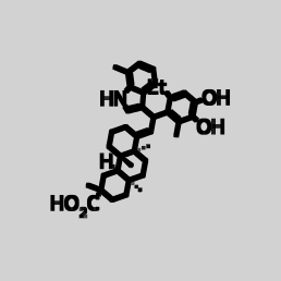 CCc1cc(O)c(O)c(C)c1C(/C=C1\CCC[C@@]2(C)[C@@H]3C[C@](C)(C(=O)O)CC[C@]3(C)CC[C@]12C)c1c[nH]c2c(C)cccc12